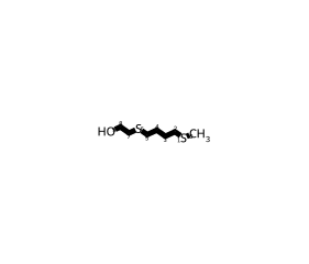 CSCCCCSCCO